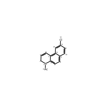 CC(=O)N1CC=Cc2c1ccc1ccc(Cl)cc21